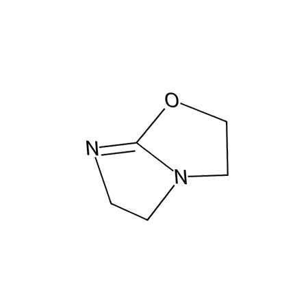 C1CN2CCOC2=N1